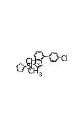 C[Si](C)(C1=CC=CC1)C1C=Cc2c(-c3ccc(Cl)cc3)cccc21